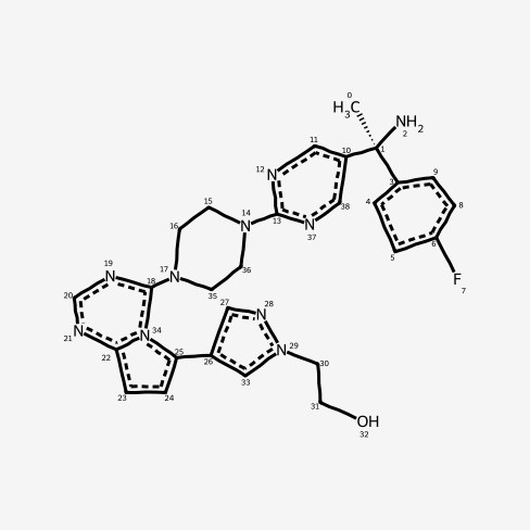 C[C@](N)(c1ccc(F)cc1)c1cnc(N2CCN(c3ncnc4ccc(-c5cnn(CCO)c5)n34)CC2)nc1